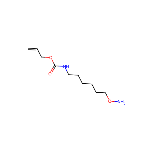 C=CCOC(=O)NCCCCCCON